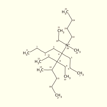 CCCCC(CCC)(C(CC)(CC)C(C)CCC)[N+](C)(CC)CCCC